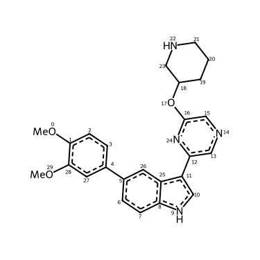 COc1ccc(-c2ccc3[nH]cc(-c4cncc(OC5CCCNC5)n4)c3c2)cc1OC